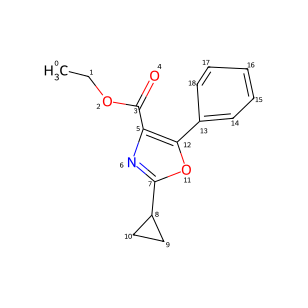 CCOC(=O)c1nc(C2CC2)oc1-c1ccccc1